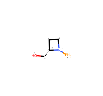 OC[C@@H]1CCN1P